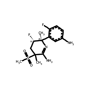 CC1(S(C)(=O)=O)C[C@H](F)[C@@](C)(c2cc(N)ccc2F)N=C1N